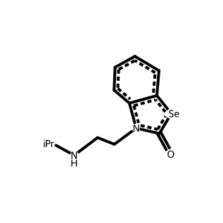 CC(C)NCCn1c(=O)[se]c2ccccc21